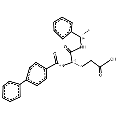 C[C@H](NC(=O)[C@H](CCC(=O)O)NC(=O)c1ccc(-c2ccccc2)cc1)c1ccccc1